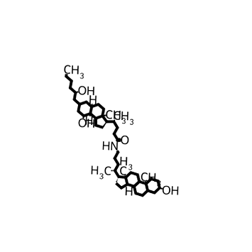 CCCC[C@@H](O)CC1C[C@H]2CC[C@@]3(C)C(CC[C@@H]3[C@H](C)CCC(=O)NCCC[C@@H](C)[C@H]3CCC4[C@@H]5CCC6C[C@H](O)CC[C@]6(C)C5CC[C@@]43C)[C@@H]2[C@@H](O)C1